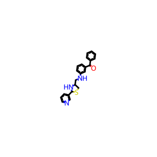 O=C(c1ccccc1)c1cccc(NCC2CSC(c3cccnc3)N2)c1